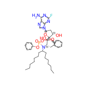 C#C[C@]1(COP(=O)(Oc2ccccc2)N(C(CCCCCCC)CCCCCCC)[C@@H](Cc2ccccc2)C(=O)O)O[C@@H](n2cnc3c(N)nc(F)nc32)C[C@@H]1O